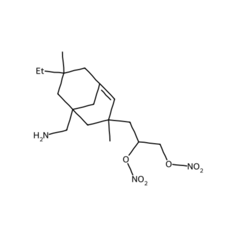 CCC1(C)CC2=CC(C)(CC(CO[N+](=O)[O-])O[N+](=O)[O-])CC(CN)(C2)C1